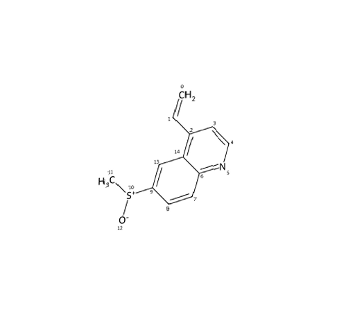 C=Cc1ccnc2ccc([S+](C)[O-])cc12